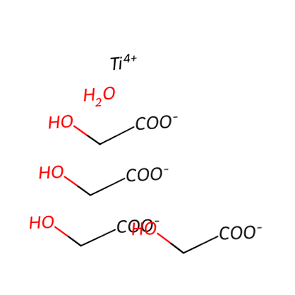 O.O=C([O-])CO.O=C([O-])CO.O=C([O-])CO.O=C([O-])CO.[Ti+4]